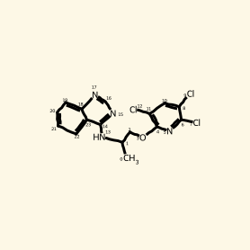 CC(COc1nc(Cl)c(Cl)cc1Cl)Nc1ncnc2ccccc12